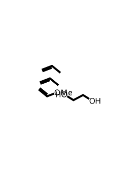 C=CC.C=CC.C=COC.OCCO